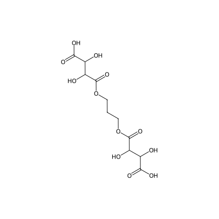 O=C(O)C(O)C(O)C(=O)OCCCOC(=O)C(O)C(O)C(=O)O